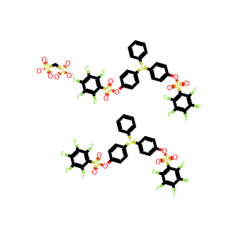 O=S(=O)(Oc1ccc([S+](c2ccccc2)c2ccc(OS(=O)(=O)c3c(F)c(F)c(F)c(F)c3F)cc2)cc1)c1c(F)c(F)c(F)c(F)c1F.O=S(=O)(Oc1ccc([S+](c2ccccc2)c2ccc(OS(=O)(=O)c3c(F)c(F)c(F)c(F)c3F)cc2)cc1)c1c(F)c(F)c(F)c(F)c1F.O=S(=O)([O-])CS(=O)(=O)[O-]